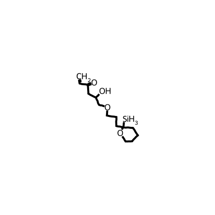 C=CC(=O)CC(O)COCCCC1([SiH3])CCCCO1